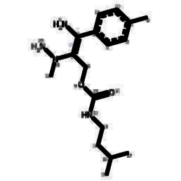 Cc1ccc(/C(N)=C(\COC(=O)NCCC(C)C)N(C)N)cc1